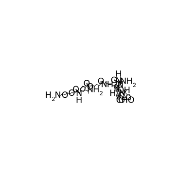 CC(N)c1cc(NC(=O)COCCOCCN)ccc1C(=O)OCCCCC(=O)NCC#Cc1cn([C@H](O)C[C@H](CC=O)OC(=O)c2ccccc2C(C)N)c2nc(N)[nH]c(=O)c12